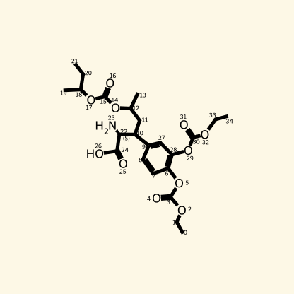 CCOC(=O)Oc1ccc(C(CC(C)OC(=O)OC(C)CC)[C@H](N)C(=O)O)cc1OC(=O)OCC